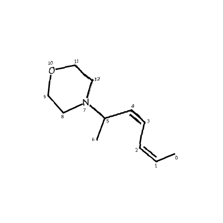 C/C=C\C=C/C(C)N1CCOCC1